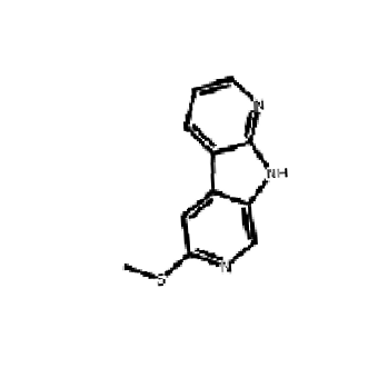 CSc1cc2c(cn1)[nH]c1ncccc12